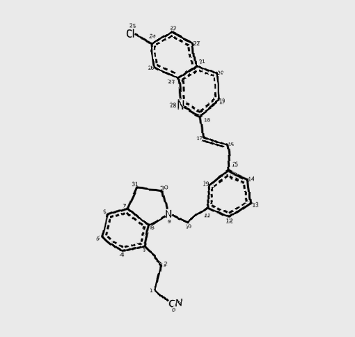 N#CCCc1cccc2c1N(Cc1cccc(/C=C/c3ccc4ccc(Cl)cc4n3)c1)CC2